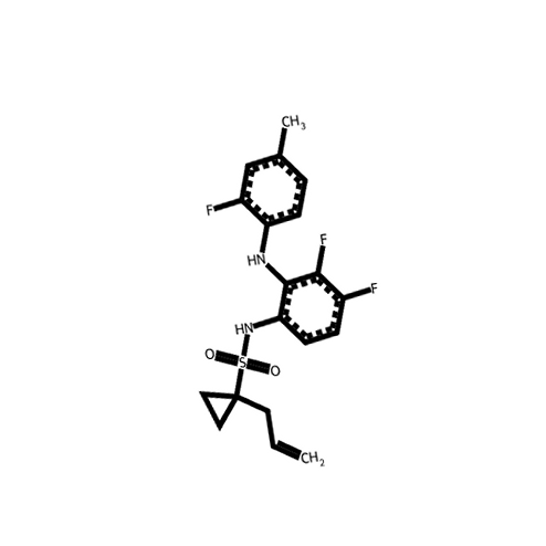 C=CCC1(S(=O)(=O)Nc2ccc(F)c(F)c2Nc2ccc(C)cc2F)CC1